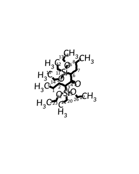 CCCC(C(=O)C(CCC)[Si](CC)(OCC)OCC)[Si](CC)(OCC)OCC